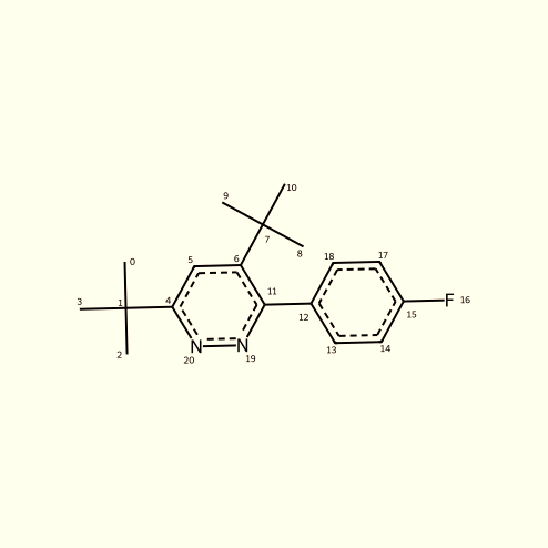 CC(C)(C)c1cc(C(C)(C)C)c(-c2ccc(F)cc2)nn1